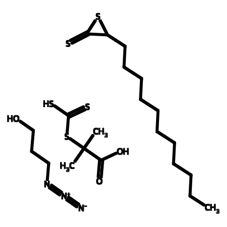 CC(C)(SC(=S)S)C(=O)O.CCCCCCCCCCCC1SC1=S.[N-]=[N+]=NCCCO